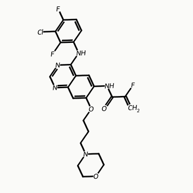 C=C(F)C(=O)Nc1cc2c(Nc3ccc(F)c(Cl)c3F)ncnc2cc1OCCCN1CCOCC1